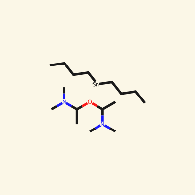 CC(OC(C)N(C)C)N(C)C.CCC[CH2][Sn][CH2]CCC